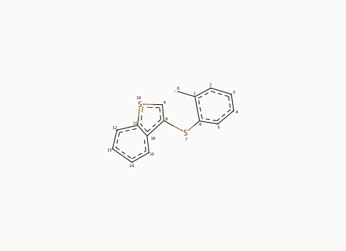 [CH2]c1ccccc1Sc1csc2ccccc12